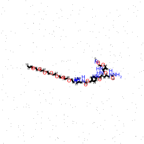 C=NOCC(=O)N[C@H](C(=O)N[C@@H](CCCNC(N)=O)C(=O)Nc1ccc(COC(=O)NCc2cn(CCOCCOCCOCCOCCOCCOCCOCCC)nn2)cc1)C(C)C